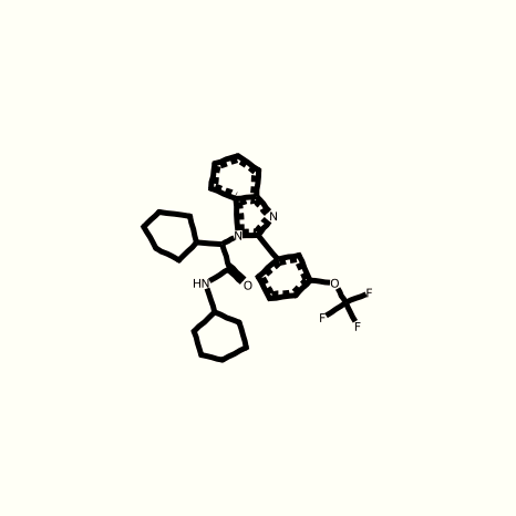 O=C(NC1CCCCC1)C(C1CCCCC1)n1c(-c2cccc(OC(F)(F)F)c2)nc2ccccc21